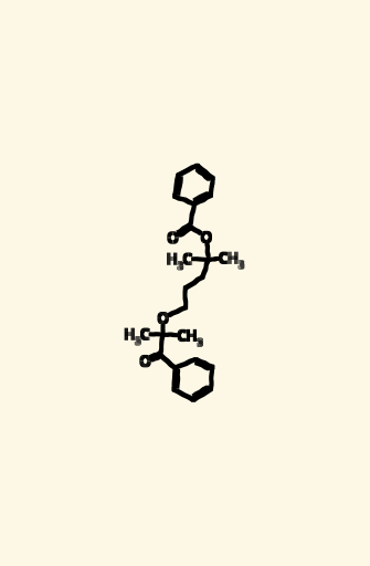 CC(C)(CCCOC(C)(C)C(=O)c1ccccc1)OC(=O)c1ccccc1